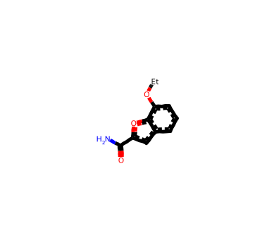 CCOc1cccc2cc(C(N)=O)oc12